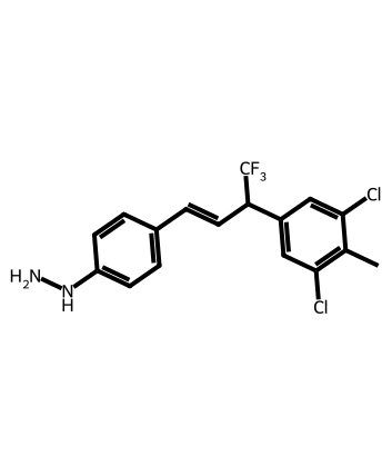 Cc1c(Cl)cc(C(/C=C/c2ccc(NN)cc2)C(F)(F)F)cc1Cl